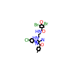 COc1c(Br)cc(C(=O)NCCCNc2c(C#N)c(C(=O)c3ccc(C)cc3)nn2-c2ccc(Cl)cc2)cc1Br